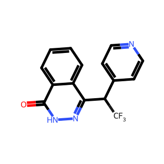 O=c1[nH]nc(C(c2ccncc2)C(F)(F)F)c2ccccc12